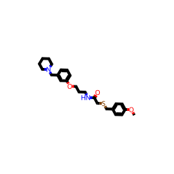 COc1ccc(CSCC(=O)NCCCOc2cccc(CN3CCCCC3)c2)cc1